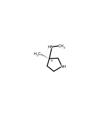 CN[C@]1(C)CCNC1